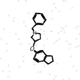 c1ccc(CN2CCC(Oc3ccc4c(c3)CCC4)C2)cc1